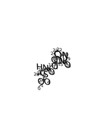 CCOC(=O)c1sc(NC(=O)COC(=O)Cn2c(=O)cnc3ccccc32)cc1C